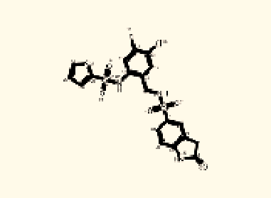 O=C1Cc2cc(S(=O)(=O)NCc3cc(Cl)c(Cl)cc3NS(=O)(=O)c3cccs3)ccc2N1